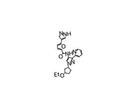 CCO[C@@H]1CC[C@H](n2cc(NC(=O)c3ccc(-c4cn[nH]c4)o3)c(-c3ccccn3)n2)C1